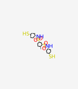 Cc1ccc(S(=O)(=O)Nc2ccc(S)cc2)cc1S(=O)(=O)Nc1ccc(S)cc1